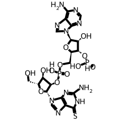 Nc1nc2c(ncn2[C@@H]2O[C@H](CO)[C@@H](O)[C@H]2OP(=O)(O)OC[C@H]2O[C@@H](n3cnc4c(N)ncnc43)[C@H](O)[C@@H]2O[PH](=O)O)c(=S)[nH]1